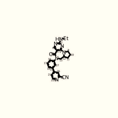 CCNc1ncc2c(n1)N1CCCC1CN(c1cccc(-c3ccnc(C#N)c3)c1)C2=O